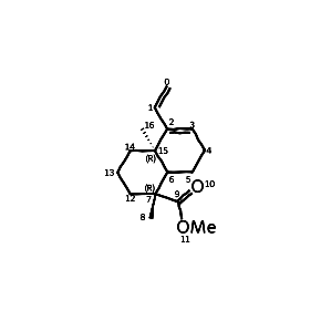 C=CC1=CCCC2[C@](C)(C(=O)OC)CCC[C@@]12C